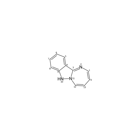 C1=CN=C2c3ccccc3NN2C=C1